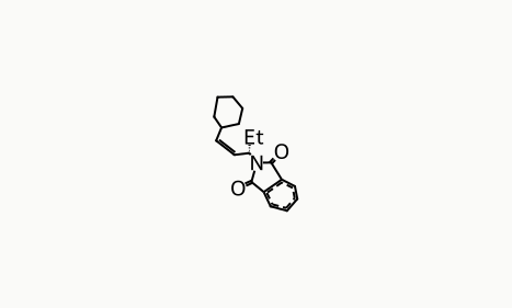 CC[C@@H](/C=C\C1CCCCC1)N1C(=O)c2ccccc2C1=O